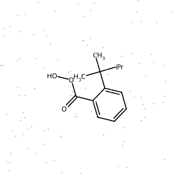 CC(C)C(C)(C)c1ccccc1C(=O)OO